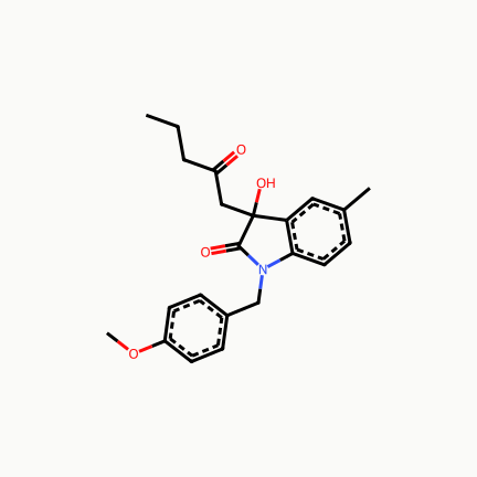 CCCC(=O)CC1(O)C(=O)N(Cc2ccc(OC)cc2)c2ccc(C)cc21